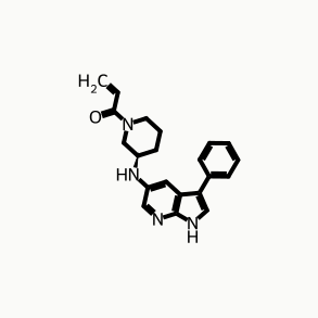 C=CC(=O)N1CCC[C@@H](Nc2cnc3[nH]cc(-c4ccccc4)c3c2)C1